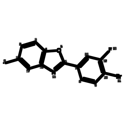 [CH2]c1ccc2oc(-c3ccc(Br)c(F)c3)nc2c1